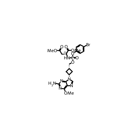 COC(=O)C[C@H](NP(=O)(OC[C@H]1C[C@@H](n2cnc3c(OC)nc(N)nc32)C1)Oc1ccc(Br)cc1)C(=O)OC